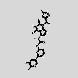 Cc1cc(C(C)n2c(=O)[nH]c(=O)c3c2ncn3[C@@H](C)C(=O)Nc2cccc(-c3cnc(C)c(C)c3)n2)no1